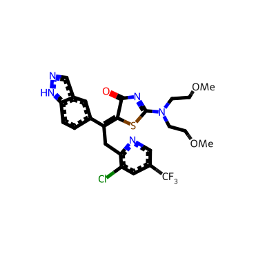 COCCN(CCOC)C1=NC(=O)C(=C(Cc2ncc(C(F)(F)F)cc2Cl)c2ccc3[nH]ncc3c2)S1